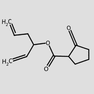 C=CCC(C=C)OC(=O)C1CCCC1=O